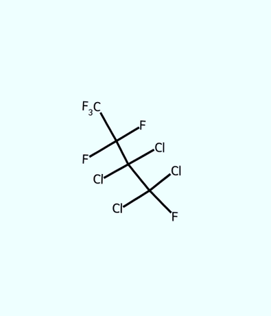 FC(F)(F)C(F)(F)C(Cl)(Cl)C(F)(Cl)Cl